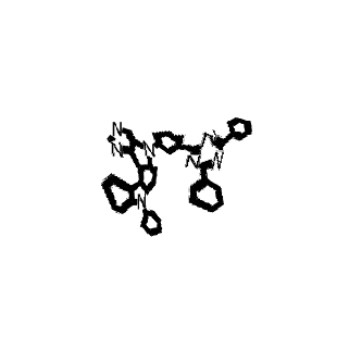 c1ccc(-c2nc(-c3ccccc3)nc(-c3cccc(-n4c5cncnc5c5c6c7ccccc7n(-c7ccccc7)c6ccc54)c3)n2)cc1